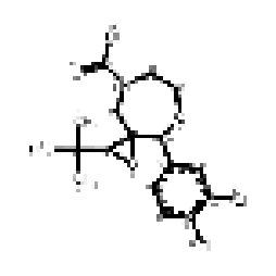 CC(C)(C)C1OC12CN(C(=O)O)CCOC2c1ccc(Cl)c(Cl)c1